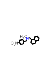 CN(Cc1ccc([N+](=O)[O-])cc1)Cc1cccc2ccccc12